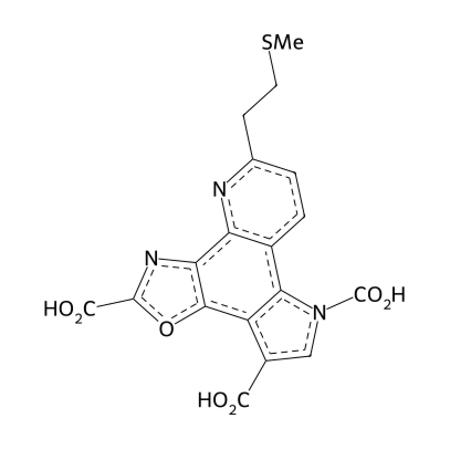 CSCCc1ccc2c(n1)c1nc(C(=O)O)oc1c1c(C(=O)O)cn(C(=O)O)c21